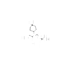 CC(CO)N(C(=O)OC(C)(C)C)C1CCC(F)(F)CC1